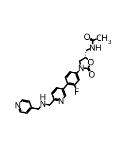 CC(=O)NC[C@H]1CN(c2ccc(-c3ccc(CNCc4ccncc4)nc3)c(F)c2)C(=O)O1